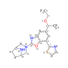 FC(F)(F)COC(c1cc(-c2nccs2)c2oc(N3CC4CCC(C3)N4)nc2c1)C(F)(F)F